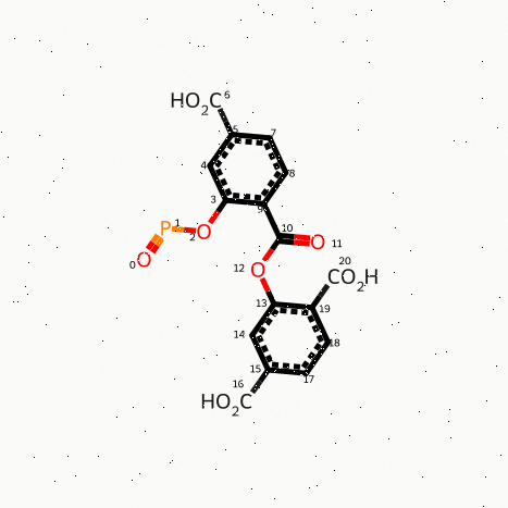 O=POc1cc(C(=O)O)ccc1C(=O)Oc1cc(C(=O)O)ccc1C(=O)O